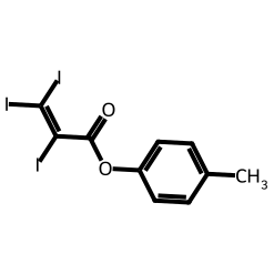 Cc1ccc(OC(=O)C(I)=C(I)I)cc1